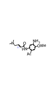 COc1cc(C(C)=O)c(NC(=O)/C=C/CN(C)C)cc1N